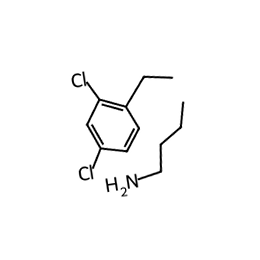 CCCCN.CCc1ccc(Cl)cc1Cl